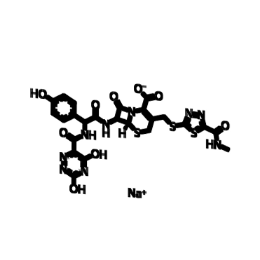 CNC(=O)c1nnc(SCC2=C(C(=O)[O-])N3C(=O)C(NC(=O)C(NC(=O)c4nnc(O)nc4O)c4ccc(O)cc4)[C@H]3SC2)s1.[Na+]